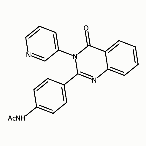 CC(=O)Nc1ccc(-c2nc3ccccc3c(=O)n2-c2cccnc2)cc1